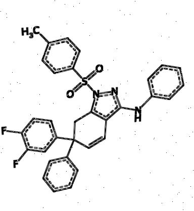 Cc1ccc(S(=O)(=O)n2nc(Nc3ccccc3)c3c2CC(c2ccccc2)(c2ccc(F)c(F)c2)C=C3)cc1